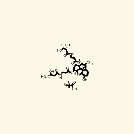 CN1CC[C@]23c4c5ccc(O)c4O[C@H]2C(OC(=O)CCNC(=O)C[C@H](O)C(=O)O)=CC[C@@]3(OC(=O)CCNC(=O)C[C@H](O)C(=O)O)[C@H]1C5.O=C(O)C(F)(F)F